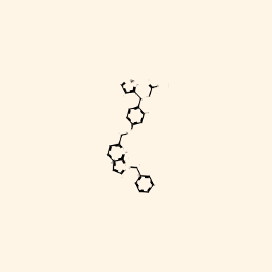 O=C(O)C[C@@H](c1ccc(OCc2ccc3ccn(Cc4ccccc4)c3n2)cc1)c1ccon1